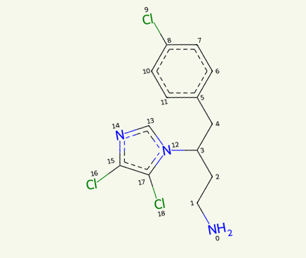 NCCC(Cc1ccc(Cl)cc1)n1cnc(Cl)c1Cl